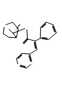 O=C(O[C@H]1CN2CCC1CC2)/C(=C\c1ccncn1)c1ccccc1